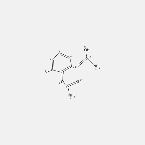 Cc1ccccc1OC(N)=S.NC(O)=S